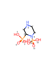 O=P(O)(O)C1CNCCN1P(=O)(O)O